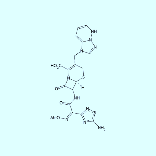 CO/N=C(\C(=O)NC1C(=O)N2C(C(=O)O)=C(CN3C=NN4NC=CC=C34)CS[C@@H]12)c1nsc(N)n1